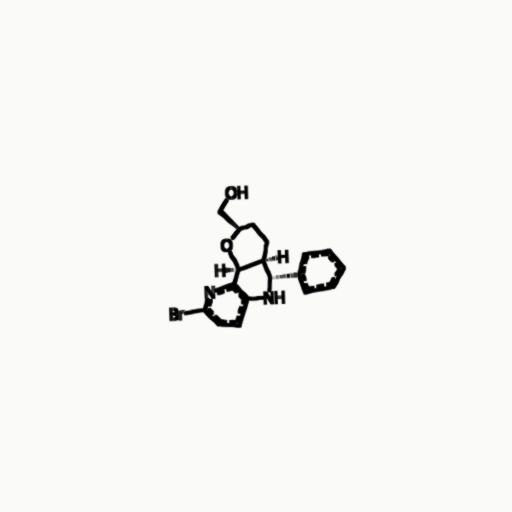 OC[C@H]1CC[C@@H]2[C@H](O1)c1nc(Br)ccc1N[C@H]2c1ccccc1